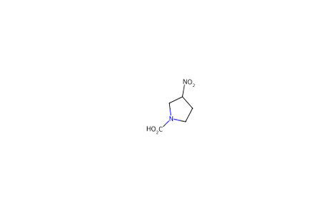 O=C(O)N1CCC([N+](=O)[O-])C1